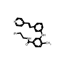 Cc1ccc(C(=O)NCCC(C)C)cc1Nc1cccc(C=Cc2ccncc2)c1